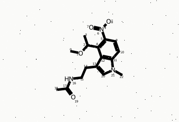 COC(C)c1c([N+](=O)[O-])ccc2c1c(CCNC(C)=O)cn2C